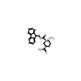 C[C@@H]1CC[C@@H](C(N)=S)CN1C(=O)OCC1c2ccccc2-c2ccccc21